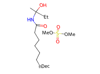 CCCCCCCCCCCCCCCC(=O)NC(C)(O)CC.COS(=O)(=O)OC